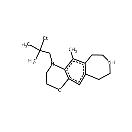 CCC(C)(C)CN1CCOc2cc3c(c(C)c21)CCNCC3